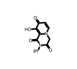 CC(C)N1C(=O)Cn2ccc(=O)c(O)c2C1=O